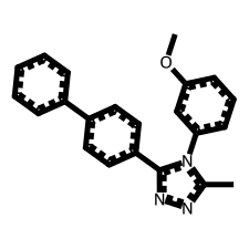 COc1cccc(-n2c(C)nnc2-c2ccc(-c3ccccc3)cc2)c1